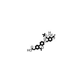 CC(=O)c1cc(CC(=O)O)ccc1-c1ccc(OCc2ccc(C(F)(F)F)c(O)c2C(=O)OC(C)(C)C)cc1